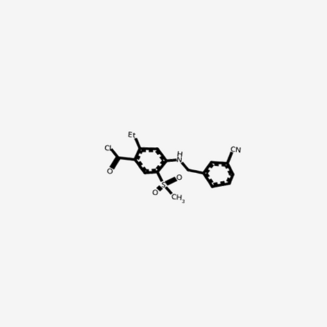 CCc1cc(NCc2cccc(C#N)c2)c(S(C)(=O)=O)cc1C(=O)Cl